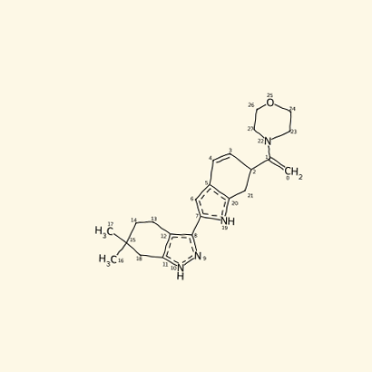 C=C(C1C=Cc2cc(-c3n[nH]c4c3CCC(C)(C)C4)[nH]c2C1)N1CCOCC1